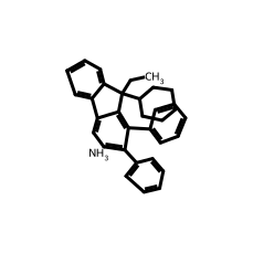 CCC1(C2CCCCC2)c2ccccc2-c2ccc(-c3ccccc3)c(-c3ccccc3)c21.N